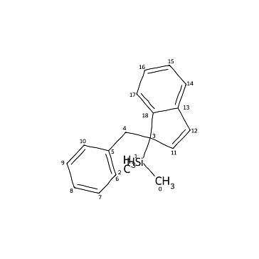 C[SiH](C)C1(Cc2ccccc2)C=Cc2ccccc21